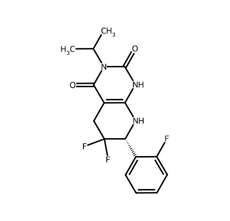 CC(C)n1c(=O)[nH]c2c(c1=O)CC(F)(F)[C@@H](c1ccccc1F)N2